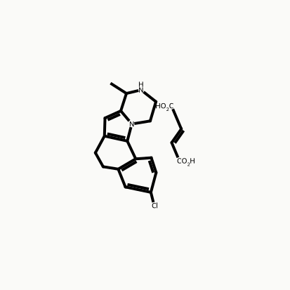 CC1NCCn2c1cc1c2-c2ccc(Cl)cc2CC1.O=C(O)C=CC(=O)O